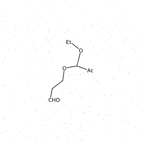 CCOC(OCC[C]=O)C(C)=O